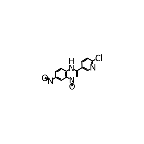 C=C(Nc1ccc(N=O)cc1N=O)c1ccc(Cl)nc1